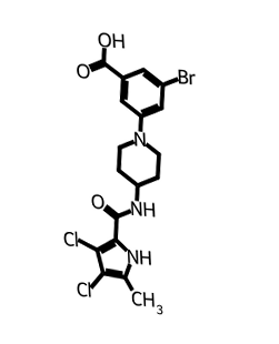 Cc1[nH]c(C(=O)NC2CCN(c3cc(Br)cc(C(=O)O)c3)CC2)c(Cl)c1Cl